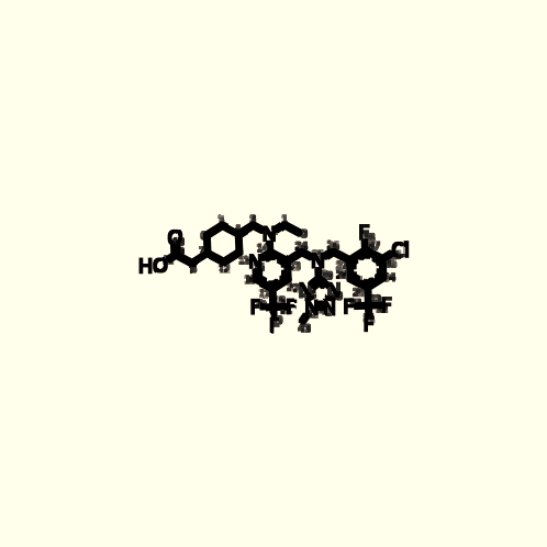 CCN(CC1CCC(CC(=O)O)CC1)c1ncc(C(F)(F)F)cc1CN(Cc1cc(C(F)(F)F)cc(Cl)c1F)c1nnn(C)n1